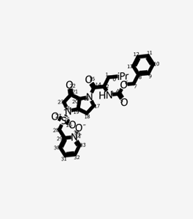 CC(C)CC(NC(=O)OCc1ccccc1)C(=O)N1CCC2C1C(=O)CN2S(=O)(=O)Cc1cccc[n+]1[O-]